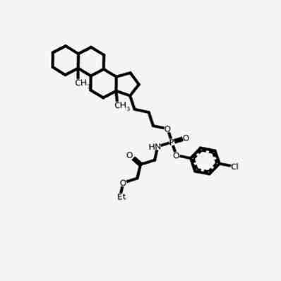 CCOCC(=O)CNP(=O)(OCCCC1CCC2C3CCC4CCCCC4(C)C3CCC12C)Oc1ccc(Cl)cc1